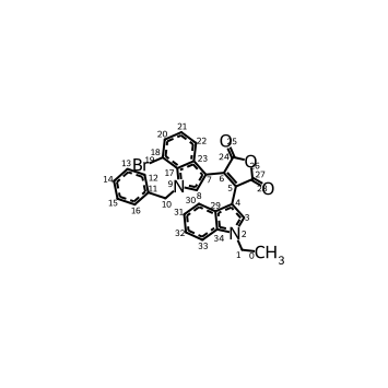 CCn1cc(C2=C(c3cn(Cc4ccccc4)c4c(Br)cccc34)C(=O)OC2=O)c2ccccc21